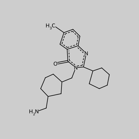 Cc1ccc2nc(C3CCCCC3)n(CC3CCCC(CN)C3)c(=O)c2c1